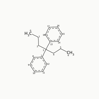 CCCC(CCC)(c1ccccc1)c1ccccc1